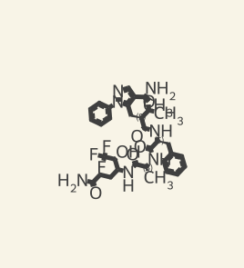 CC(C)[C@H](Cc1c(C(N)=O)cnn1-c1ccccc1)C(=O)N[C@@H](Cc1ccccc1)C(=O)N[C@@H](C)C(=O)NC(CCC(N)=O)C(O)C(F)(F)F